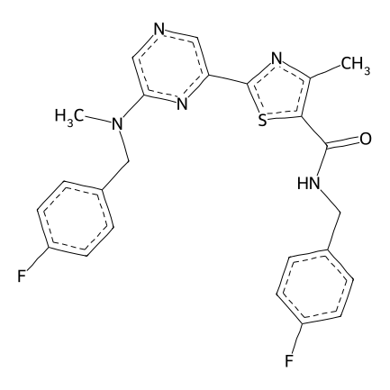 Cc1nc(-c2cncc(N(C)Cc3ccc(F)cc3)n2)sc1C(=O)NCc1ccc(F)cc1